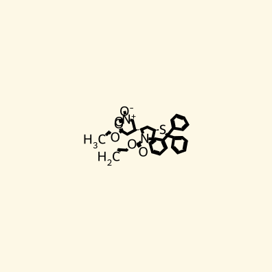 C=CCOC(=O)N1C[C@@H](SC(c2ccccc2)(c2ccccc2)c2ccccc2)C[C@H]1C(CC(=O)OCC)C[N+](=O)[O-]